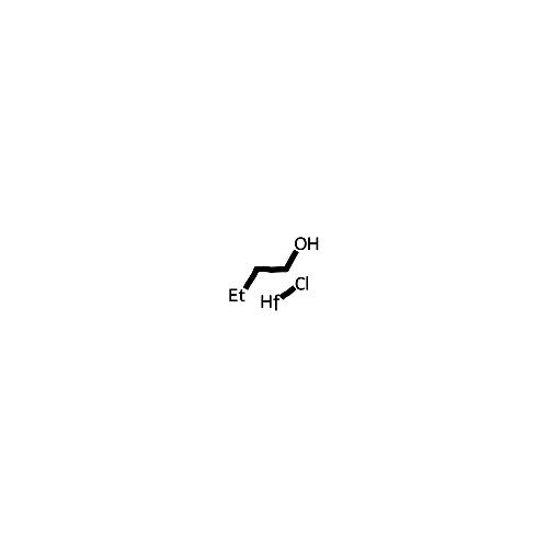 CCCCO.[Cl][Hf]